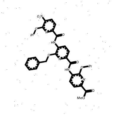 COC(=O)c1ccc(NC(=O)c2ccc(NC(=O)c3ccc([N+](=O)[O-])c(OC(C)C)n3)c(OCc3ccccc3)n2)c(OC(C)C)n1